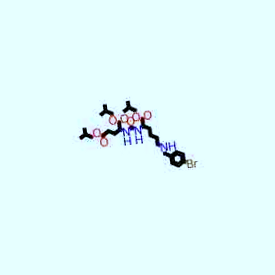 CC(C)COC(=O)CCC(NC(=O)NC(CCCCNCc1ccc(Br)cc1)C(=O)OCC(C)C)C(=O)OCC(C)C